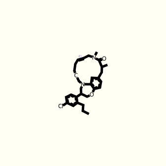 CCCc1cc(Cl)ccc1C1COc2ccc3cc2N(CCCC/C=C/CN(C)C(=O)C(C)C3)C1